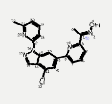 C/C(=N\O)c1cccc(-c2cc(Cl)c3cnn(-c4cccc(C)n4)c3c2)n1